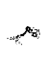 CCOC(COCCC#Cc1cccc2c1CN(C1CCC(=O)NC1O)C2=O)OCC